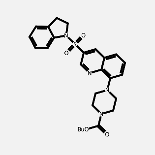 CC(C)COC(=O)N1CCN(c2cccc3cc(S(=O)(=O)N4CCc5ccccc54)cnc23)CC1